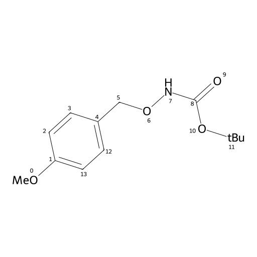 COc1ccc(CONC(=O)OC(C)(C)C)cc1